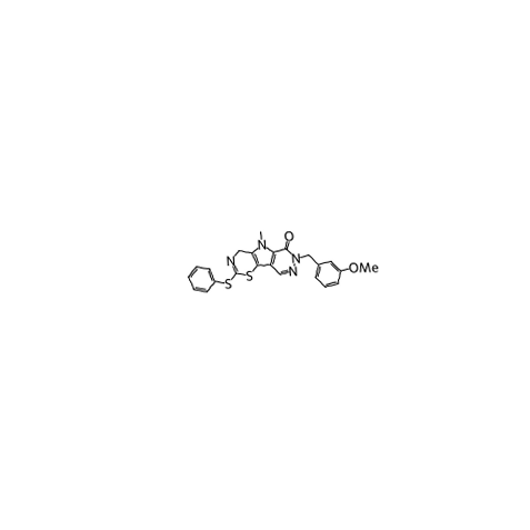 COc1cccc(Cn2ncc3c4c(n(C)c3c2=O)CN=C(Sc2ccccc2)S4)c1